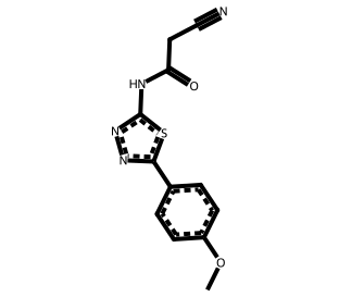 COc1ccc(-c2nnc(NC(=O)CC#N)s2)cc1